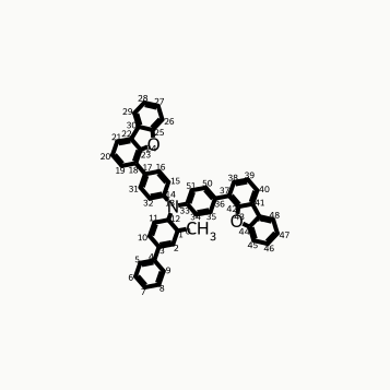 CC1C=C(c2ccccc2)C=CC1N(c1ccc(-c2cccc3c2oc2ccccc23)cc1)c1ccc(-c2cccc3c2oc2ccccc23)cc1